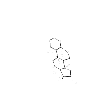 C[C@H]1C[C@H]2[C@@H]3CCC4CCCC[C@]4(C)[C@H]3CC[C@]2(C)C1N